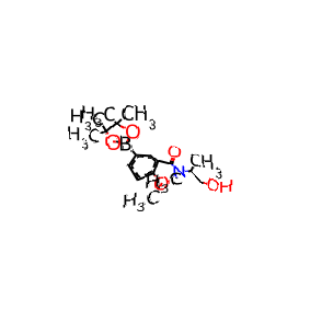 COc1ccc(B2OC(C)(C)C(C)(C)O2)cc1C(=O)N(C)C(C)CO